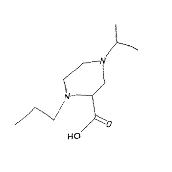 CCCN1CCN(C(C)C)CC1C(=O)O